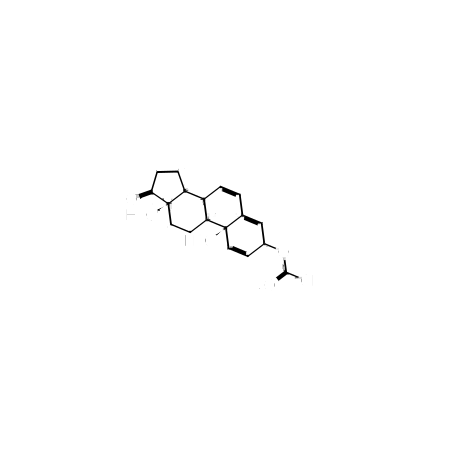 CC(=O)OC1C=C[C@@]2(C)C(=C1)C=CC1C2CC[C@]2(C)C(=O)CCC12